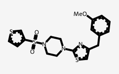 COc1cccc(Cc2csc(N3CCN(S(=O)(=O)c4ccsc4)CC3)n2)c1